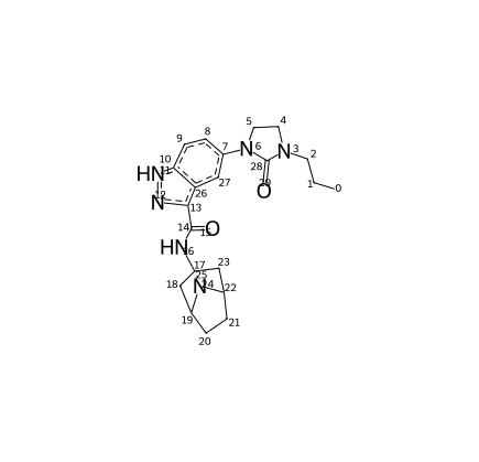 CCCN1CCN(c2ccc3[nH]nc(C(=O)NC4CC5CCC(C4)N5C)c3c2)C1=O